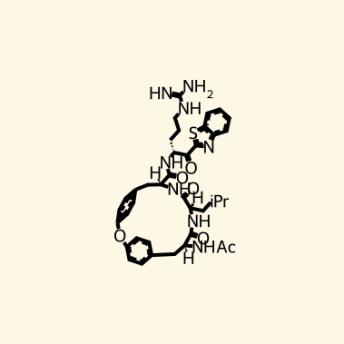 CC(=O)N[C@H]1Cc2ccc(cc2)Oc2ccc(cc2)C[C@@H](C(=O)N[C@H](CCCNC(=N)N)C(=O)c2nc3ccccc3s2)NC(=O)[C@H](CC(C)C)NC1=O